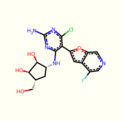 Nc1nc(Cl)c(-c2cc3c(F)cncc3o2)c(N[C@@H]2C[C@H](CO)[C@@H](O)[C@H]2O)n1